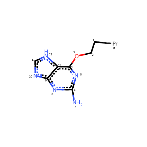 CC(C)CCOc1nc(N)nc2nc[nH]c12